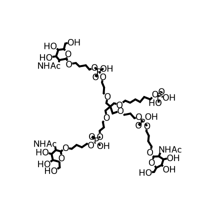 CC(=O)NC1C(OCCCCOP(=O)(O)OCCCOCC(COCCCCCCOP(=O)(O)O)(COCCCOP(=O)(O)OCCCCOC2OC(CO)C(O)C(O)C2NC(C)=O)COCCCOP(=O)(O)OCCCCOC2OC(CO)C(O)C(O)C2NC(C)=O)OC(CO)C(O)C1O